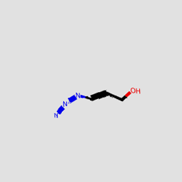 [N-]=[N+]=NC=CCO